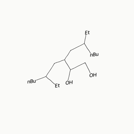 CCCCC(CC)CC(CC(CC)CCCC)C(O)CO